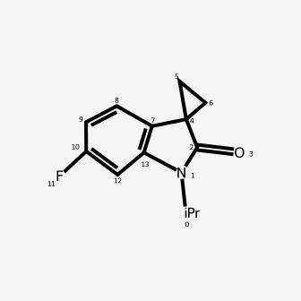 CC(C)N1C(=O)C2(CC2)c2ccc(F)cc21